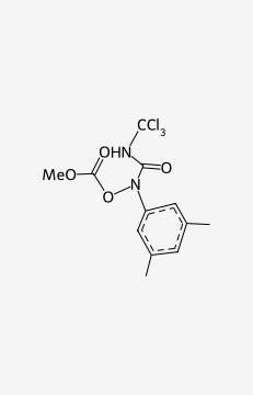 COC(=O)ON(C(=O)NC(Cl)(Cl)Cl)c1cc(C)cc(C)c1